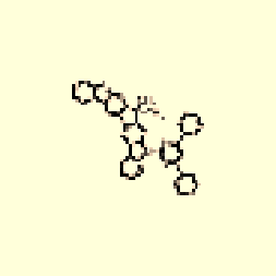 CC1(C)c2cc3oc4ccccc4c3cc2-c2cc3c4ccccc4n(-c4nc(-c5ccccc5)cc(-c5ccccc5)n4)c3cc21